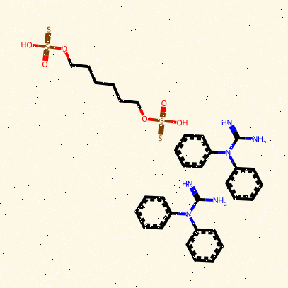 N=C(N)N(c1ccccc1)c1ccccc1.N=C(N)N(c1ccccc1)c1ccccc1.O=S(O)(=S)OCCCCCCOS(=O)(O)=S